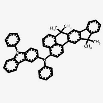 CC1(C)c2ccccc2-c2cc3c(cc21)-c1ccc(N(c2ccccc2)c2ccc4c(c2)c2ccccc2n4-c2ccccc2)c2cccc(c12)C3(C)C